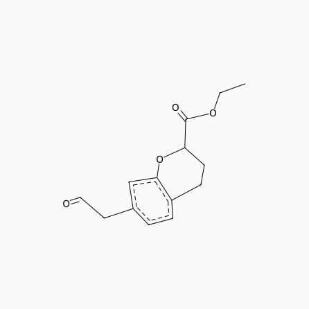 CCOC(=O)C1CCc2ccc(CC=O)cc2O1